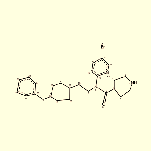 O=C(C1CCNCC1)N(CCC1CCN(Cc2ccccc2)CC1)c1ncc(Br)cn1